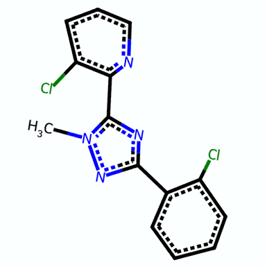 Cn1nc(-c2ccccc2Cl)nc1-c1ncccc1Cl